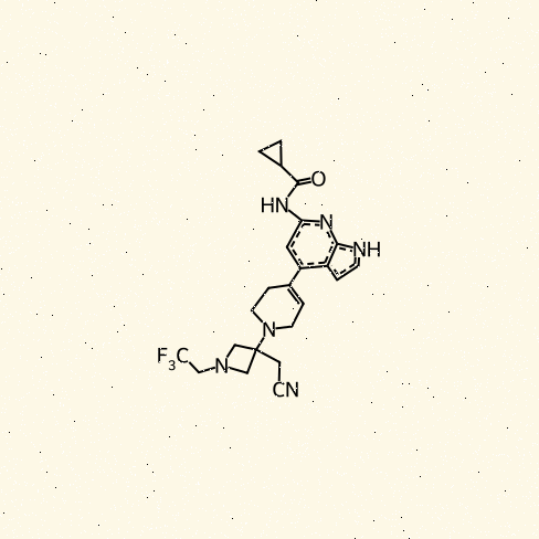 N#CCC1(N2CC=C(c3cc(NC(=O)C4CC4)nc4[nH]ccc34)CC2)CN(CC(F)(F)F)C1